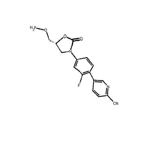 N#Cc1ccc(-c2ccc(N3C[C@H](COP)OC3=O)cc2F)cn1